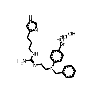 Cl.Cl.Cl.NC(=NCCN(Cc1ccccc1)c1ccc(Br)cc1)NCCCc1c[nH]cn1